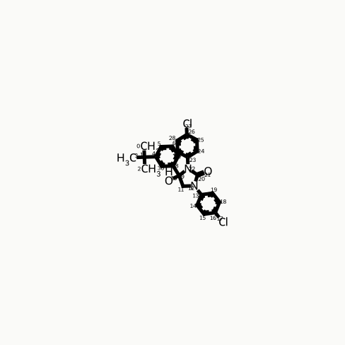 CC(C)(C)c1cccc(C2(O)CN(c3ccc(Cl)cc3)C(=O)N2c2ccc(Cl)cc2)c1